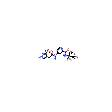 C#CC(C)(C)NC(=O)c1cc(NC(=O)Cc2c[nH]nc2C(F)(F)F)ccn1